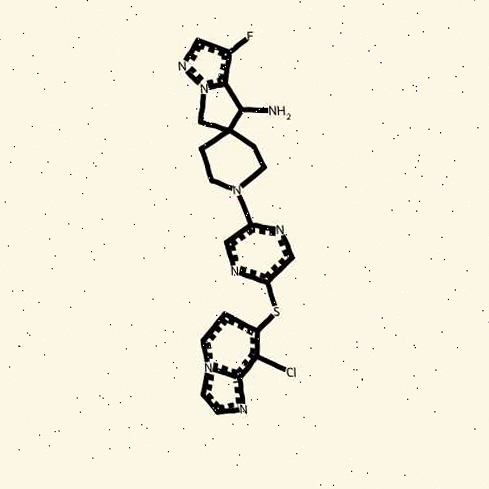 NC1c2c(F)cnn2CC12CCN(c1cnc(Sc3ccn4ccnc4c3Cl)cn1)CC2